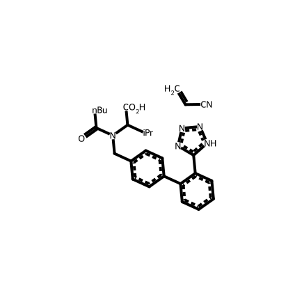 C=CC#N.CCCCC(=O)N(Cc1ccc(-c2ccccc2-c2nnn[nH]2)cc1)C(C(=O)O)C(C)C